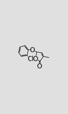 CC1=CC(Oc2ccccc2Cl)OC1=O